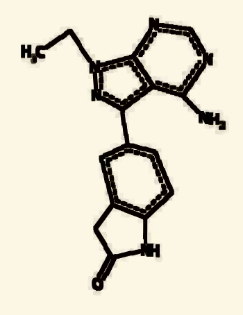 CCn1nc(-c2ccc3c(c2)CC(=O)N3)c2c(N)ncnc21